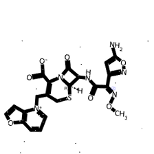 CO/N=C(\C(=O)NC1C(=O)N2C(C(=O)[O-])=C(C[n+]3cccc4occc43)CS[C@H]12)c1cc(N)on1